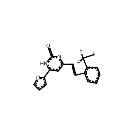 O=c1nc(C=Cc2ccccc2C(F)(F)F)cc(-c2ccco2)[nH]1